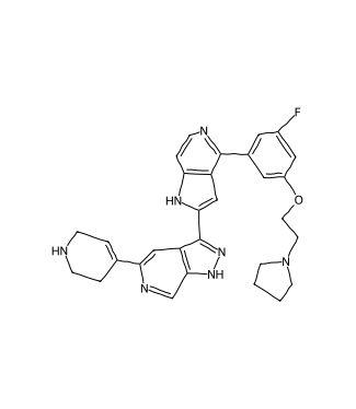 Fc1cc(OCCN2CCCC2)cc(-c2nccc3[nH]c(-c4n[nH]c5cnc(C6=CCNCC6)cc45)cc23)c1